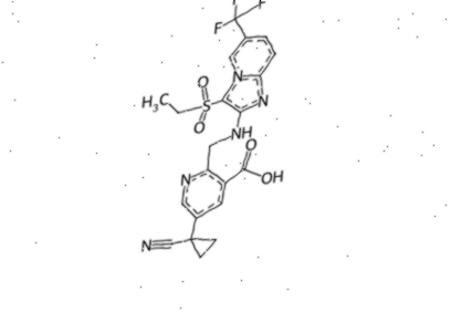 CCS(=O)(=O)c1c(NCc2ncc(C3(C#N)CC3)cc2C(=O)O)nc2ccc(C(F)(F)F)cn12